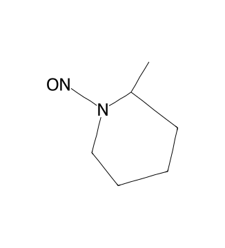 CC1CCCCN1N=O